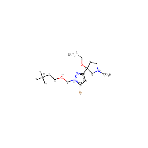 CCOC(=O)COC1(c2cc(Br)n(COCC[Si](C)(C)C)n2)CCN(C(=O)O)C1